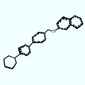 c1ccc2cc(OCc3ccc(-c4ccc(C5CCCCC5)cc4)cc3)ccc2c1